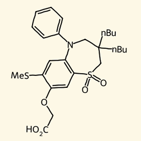 CCCCC1(CCCC)CN(c2ccccc2)c2cc(SC)c(OCC(=O)O)cc2S(=O)(=O)C1